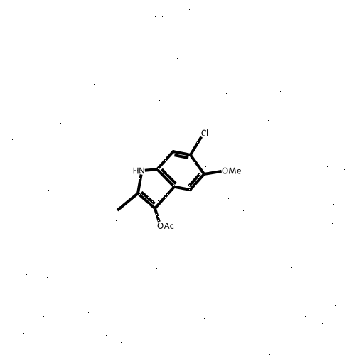 COc1cc2c(OC(C)=O)c(C)[nH]c2cc1Cl